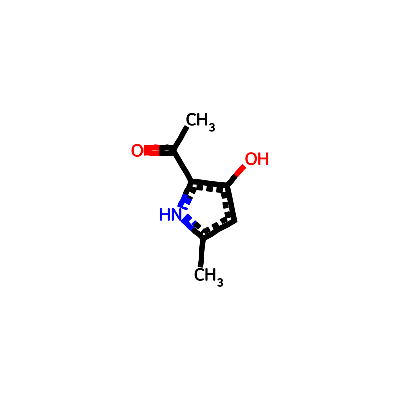 CC(=O)c1[nH]c(C)cc1O